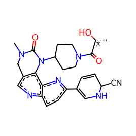 C[C@@H](O)C(=O)N1CCC(N2C(=O)N(C)Cc3cnc4ccc(C5=CNC(C#N)C=C5)nc4c32)CC1